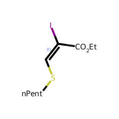 CCCCCS/C=C(/I)C(=O)OCC